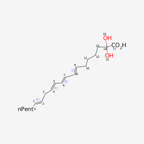 CCCCC/C=C/C/C=C/C=C/C=C/CCCCC(O)(O)C(=O)O